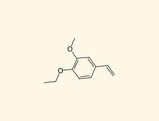 C=Cc1ccc(OCC)c(OC)c1